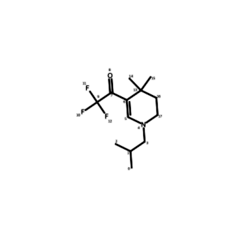 CC(C)CN1C=C(C(=O)C(F)(F)F)C(C)(C)CC1